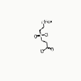 CCCCCCCCP(=O)(Cl)CCC(=O)Cl